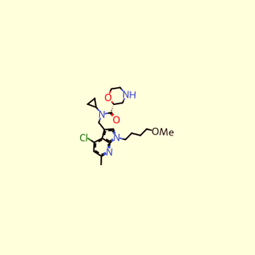 COCCCCn1cc(CN(C(=O)[C@H]2CNCCO2)C2CC2)c2c(Cl)cc(C)nc21